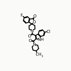 CC1CCN(C(=O)c2[nH]c3cc(Cl)ccc3c2C(=O)N2CCC3(CC2)OC(=O)c2cc(F)ccc23)CC1